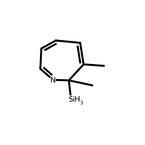 CC1=CC=CC=NC1(C)[SiH3]